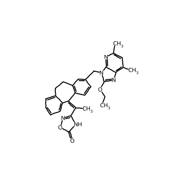 CCOc1nc2c(C)cc(C)nc2n1Cc1ccc2c(c1)CCc1ccccc1C2=C(C)c1noc(=O)[nH]1